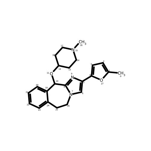 Cc1ccc(-c2cn3c(n2)C(OC2CCN(C)CC2)c2ccccc2CC3)o1